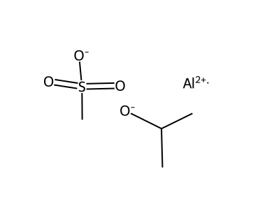 CC(C)[O-].CS(=O)(=O)[O-].[Al+2]